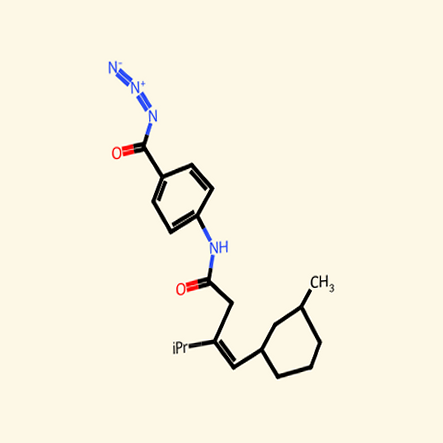 CC1CCCC(C=C(CC(=O)Nc2ccc(C(=O)N=[N+]=[N-])cc2)C(C)C)C1